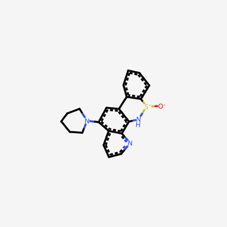 [O-][S+]1Nc2c(cc(N3CCCCC3)c3cccnc23)-c2ccccc21